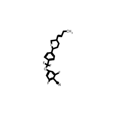 CCC=CC1CCC(c2ccc(C(F)(F)Oc3cc(F)c(C#N)c(F)c3)cc2)CC1